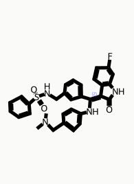 CN(C)Cc1ccc(N/C(=C2\C(=O)Nc3cc(F)ccc32)c2cccc(CNS(=O)(=O)c3ccccc3)c2)cc1